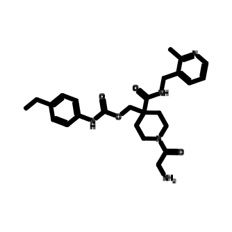 CCc1ccc(NC(=O)OCC2(C(=O)NCc3cccnc3C)CCN(C(=O)CN)CC2)cc1